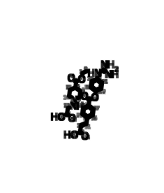 CCOC(=O)C1CCN(NCC(=O)O)CC1.N=C(N)Nc1ccc(OC(=O)c2ccc(C=CC(=O)O)cc2)cc1